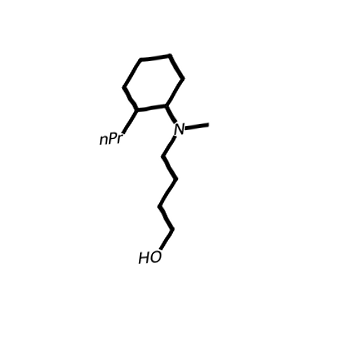 CCCC1CCCCC1N(C)CCCCO